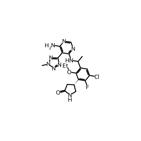 CCOc1c(C(C)Nc2ncnc(N)c2-c2nnn(C)n2)cc(Cl)c(F)c1[C@@H]1CNC(=O)C1